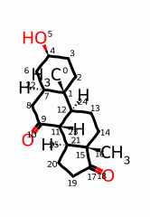 C[C@]12CC[C@H](O)C[C@@H]1CC(=O)[C@@H]1[C@@H]2CC[C@]2(C)C(=O)CC[C@@H]12